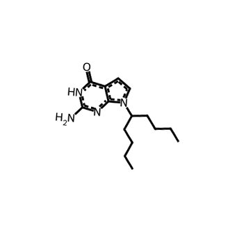 CCCCC(CCCC)n1ccc2c(=O)[nH]c(N)nc21